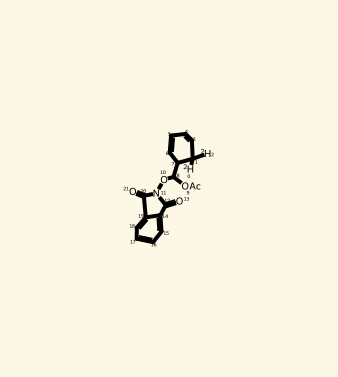 [2H]C1([2H])C=CC=CC1C(OC(C)=O)ON1C(=O)c2ccccc2C1=O